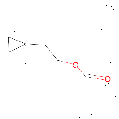 O=COCC[C]1CC1